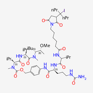 CCCC(I)(CCC)C1CC(=O)N(CCCCCC(=O)NC(C(=O)N[C@@H](CCCNC(N)=O)C(=O)Nc2ccc(COC(=O)N(C)[C@H](C(=O)N[C@H](C(=O)N(C)C([C@@H](C)CC)[C@@H](C)OC)C(C)C)C(C)C)cc2)C(C)C)C1=O